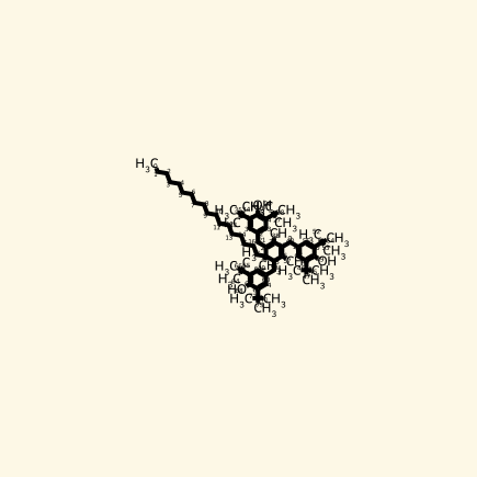 CCCCCCCCCCCCCCCCCCC1(C)C(Cc2cc(C(C)(C)C)c(O)c(C(C)(C)C)c2)=C(C)C(Cc2cc(C(C)(C)C)c(O)c(C(C)(C)C)c2)=C(C)C1Cc1cc(C(C)(C)C)c(O)c(C(C)(C)C)c1